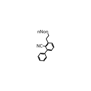 CCCCCCCCCCCc1cccc(-c2ccccc2)c1C#N